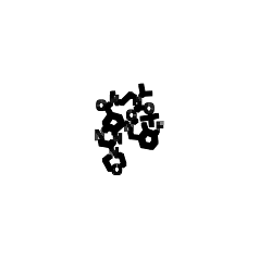 Cc1c(F)cccc1CN(C)c1cc(C(=O)N(C)CCN(C(=O)OC(C)(C)C)C(C)C)cc2ncc(N3CCOCC3)nc12